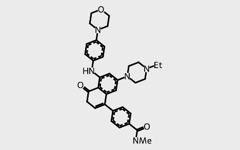 CCN1CCN(c2cc(Nc3ccc(N4CCOCC4)cc3)c3c(c2)C(c2ccc(C(=O)NC)cc2)=CCC3=O)CC1